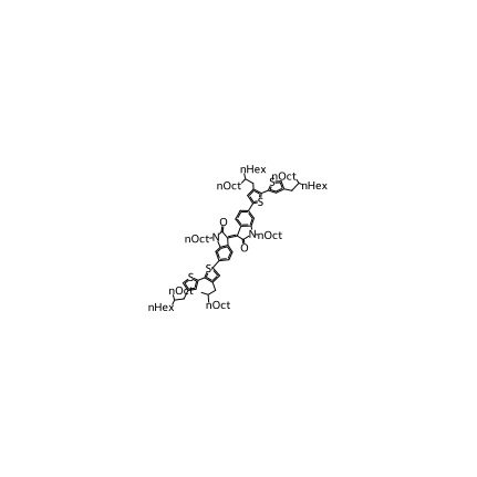 CCCCCCCCC(C)Cc1cc(-c2ccc3c(c2)N(CCCCCCCC)C(=O)/C3=C2/C(=O)N(CCCCCCCC)c3cc(-c4cc(CC(CCCCCC)CCCCCCCC)c(-c5cc(CC(CCCCCC)CCCCCCCC)cs5)s4)ccc32)sc1-c1cc(CC(CCCCCC)CCCCCCCC)cs1